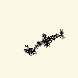 CC1(C)CCC(CN2CCN(c3ccc(C(=O)NS(=O)(=O)c4ccc(N[C@H](CCN5CCN(CCCCCCNc6cccc7c6C(=O)N(C6CCC(=O)NC6=O)C7=O)CC5)CSc5ccccc5)c(S(=O)(=O)C(F)(F)F)c4)cc3)CC2)=C(C23CC(C)(C2)C3)C1